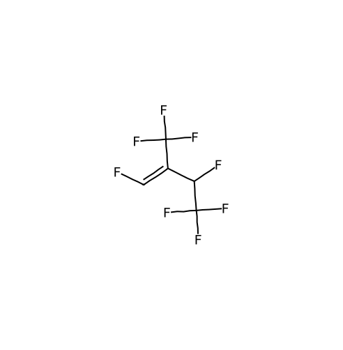 FC=C(C(F)C(F)(F)F)C(F)(F)F